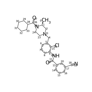 C[C@H]1CN(Cc2cccc(NC(=O)c3cccc(C#N)c3)c2Cl)CCN1C(=O)C1CCCCC1